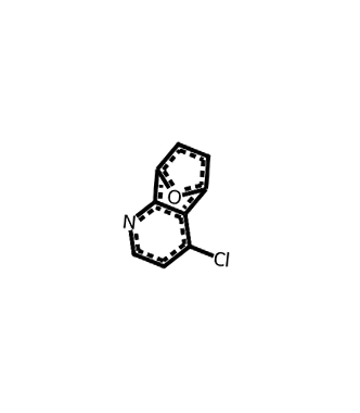 Clc1ccnc2c3ccc(o3)c12